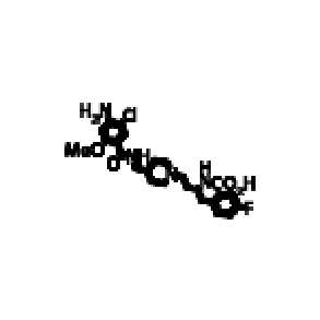 COc1cc(N)c(Cl)cc1C(=O)NCC1CCN(CCC(Cc2ccc(F)cc2)NC(=O)O)CC1